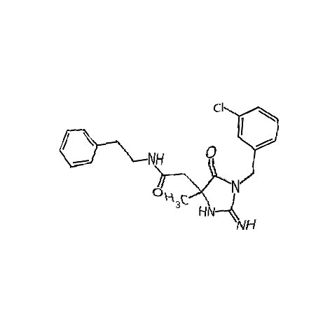 CC1(CC(=O)NCCc2ccccc2)NC(=N)N(Cc2cccc(Cl)c2)C1=O